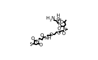 CSC1CC(=O)N(CCC(=O)NCCOCCOCC(=O)N(C)C(CC(C)=O)C(=O)NCC(O)CN)C1=O